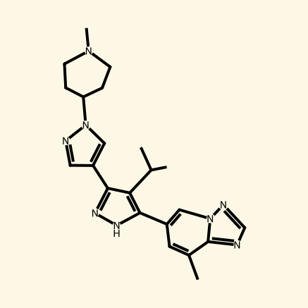 Cc1cc(-c2[nH]nc(-c3cnn(C4CCN(C)CC4)c3)c2C(C)C)cn2ncnc12